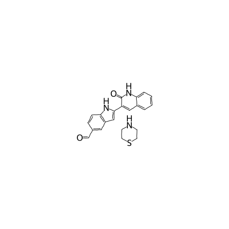 C1CSCCN1.O=Cc1ccc2[nH]c(-c3cc4ccccc4[nH]c3=O)cc2c1